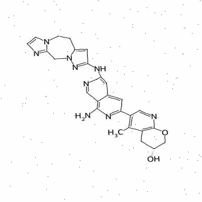 Cc1c(-c2cc3cc(Nc4cc5n(n4)Cc4nccn4CC5)ncc3c(N)n2)cnc2c1C[C@@H](O)CO2